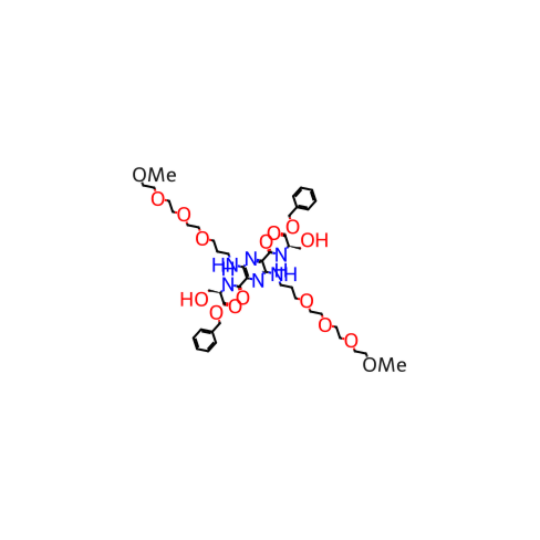 COCCOCCOCCOCCCNc1nc(C(=O)N[C@H](CO)C(=O)OCc2ccccc2)c(NCCCOCCOCCOCCOC)nc1C(=O)N[C@H](CO)C(=O)OCc1ccccc1